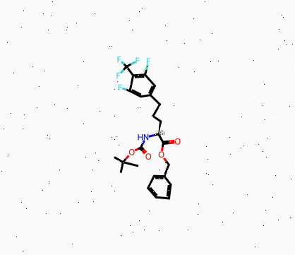 CC(C)(C)OC(=O)N[C@@H](CCCc1cc(F)c(C(F)(F)F)c(F)c1)C(=O)OCc1ccccc1